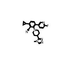 Cn1cnnc1C1CCN(c2c(-c3ccc(F)nc3)ccc(C3CC3)c2C#N)CC1